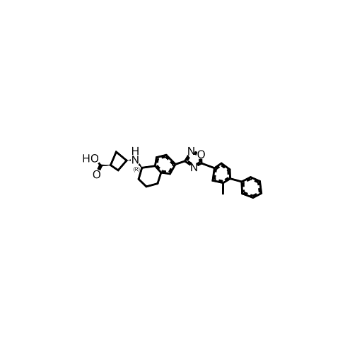 Cc1cc(-c2nc(-c3ccc4c(c3)CCC[C@H]4N[C@H]3C[C@H](C(=O)O)C3)no2)ccc1-c1ccccc1